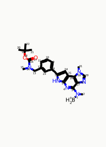 BN(C)c1nc2[nH]c(-c3cccc(CN(C)C(=O)OC(C)(C)C)c3)cc2c2c1ncn2C